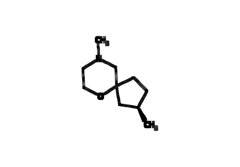 C[C@@H]1CCC2(C1)CN(C)CCO2